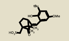 COc1cc(/C=C2/C(=O)C3(CS(=O)(=O)O)CCC2C3(C)C)c(O)c(C(C)(C)C)c1